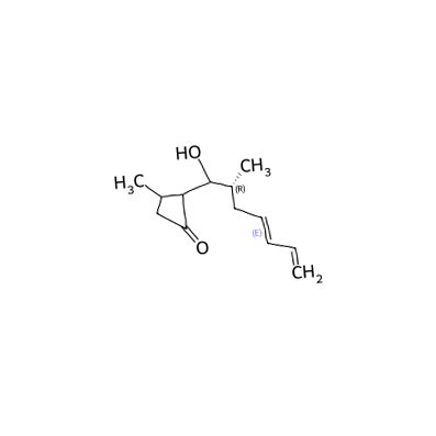 C=C/C=C/C[C@@H](C)C(O)C1C(=O)CC1C